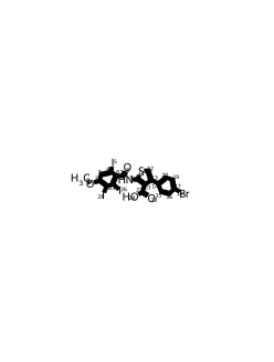 COc1cc(I)c(C(=O)Nc2scc(-c3ccc(Br)cc3)c2C(=O)O)c(I)c1I